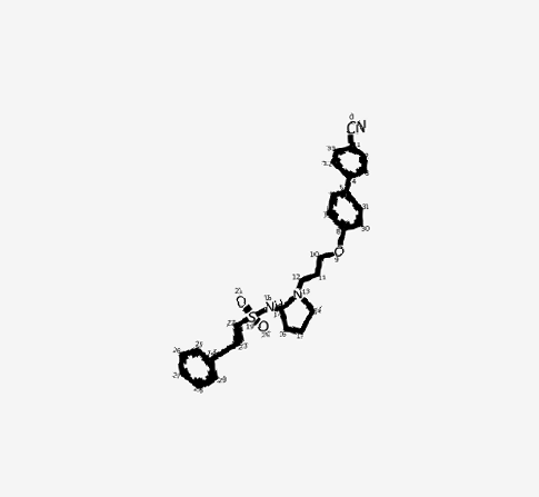 N#Cc1ccc(-c2ccc(OCCCN3CCCC3NS(=O)(=O)C=Cc3ccccc3)cc2)cc1